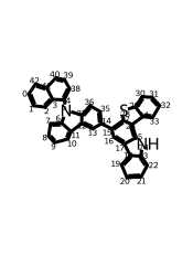 c1ccc2c(-n3c4ccccc4c4cc(-c5cc6c7ccccc7[nH]c6c6c5sc5ccccc56)ccc43)cccc2c1